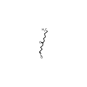 CCCCCCC(=O)CCCC=C=O